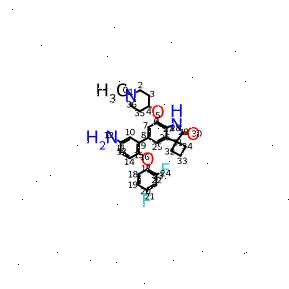 CN1CCC(Oc2cc(-c3cc(N)ccc3Oc3ccc(F)cc3F)cc3c2NC(=O)C32CCC2)CC1